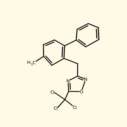 Cc1ccc(-c2ccccc2)c(Cc2noc(C(Cl)(Cl)Cl)n2)c1